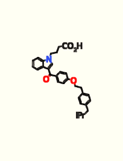 CC(C)Cc1ccc(CCOc2ccc(C(=O)c3cn(CCCC(=O)O)c4ccccc34)cc2)cc1